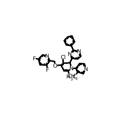 CC1=CC(OCc2ncc(F)cc2F)=C(Cl)C(c2ccnc(-c3ccccc3)n2)N1c1ccncc1C